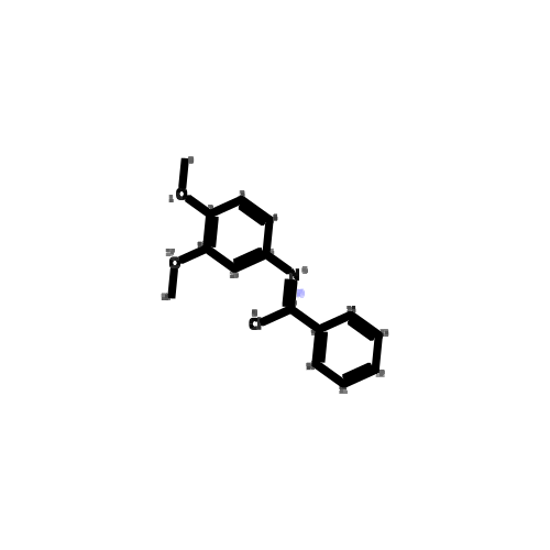 COc1ccc(/N=C(\Cl)c2ccccc2)cc1OC